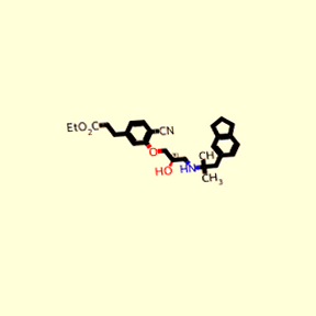 CCOC(=O)CCc1ccc(C#N)c(OC[C@H](O)CNC(C)(C)Cc2ccc3c(c2)CCC3)c1